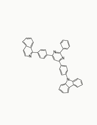 c1ccc(-c2nc(-c3ccc(-c4nccc5ccccc45)cc3)cc(-c3ccc(-n4c5ccccc5c5ccccc54)cc3)n2)cc1